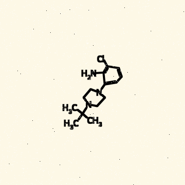 CC(C)(C)N1CCN(c2cccc(Cl)c2N)CC1